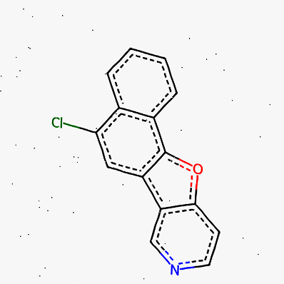 Clc1cc2c3cnccc3oc2c2ccccc12